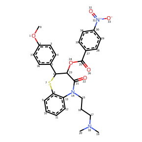 COc1ccc(C2Sc3ccccc3N(CCCN(C)C)C(=O)C2OC(=O)c2ccc([N+](=O)[O-])cc2)cc1